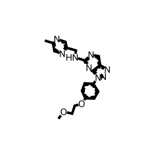 COCCOc1ccc(-n2nnc3cnc(NCc4cnc(C)cn4)nc32)cc1